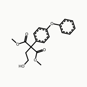 COC(=O)C(CCO)(C(=O)OC)c1ccc(Oc2ccccc2)cc1